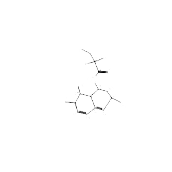 CCC(C)(C)C(=O)OC1CC(C)C=C2C=CC(C)C(C)C21